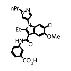 CCCn1cc(-n2c(CC)c(C(=O)Nc3cccc(C(=O)O)c3)c3cc(OC)c(Cl)cc32)cn1